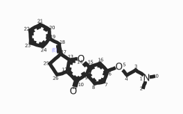 CN(C)CCOc1ccc2c(=O)c3c(oc2c1)/C(=C/c1ccccc1)CC3